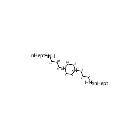 CCCCCCCNCCCN1CCN(CCCNCCCCCCC)CC1